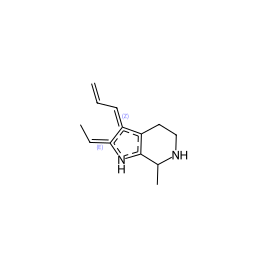 C=C/C=c1/c2c([nH]/c1=C/C)C(C)NCC2